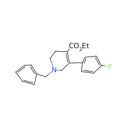 CCOC(=O)C1=C(c2ccc(F)cc2)CN(Cc2ccccc2)CC1